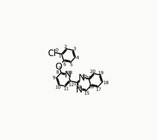 Clc1ccccc1Oc1cccc(-c2ncc3ccccc3n2)n1